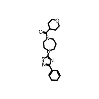 O=C(C1CCOCC1)N1CCCN(c2nc(C3=CCCC=C3)ns2)CC1